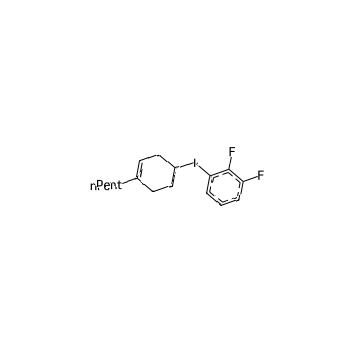 CCCCCC1=CCC([I]c2cccc(F)c2F)CC1